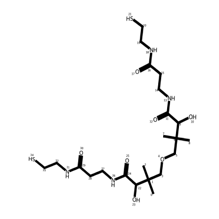 CC(C)(COCC(C)(C)C(O)C(=O)NCCC(=O)NCCS)C(O)C(=O)NCCC(=O)NCCS